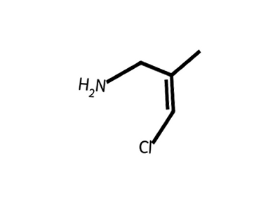 CC(=CCl)CN